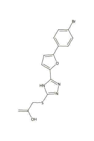 C=C(O)CSc1nnc(-c2ccc(-c3ccc(Br)cc3)o2)[nH]1